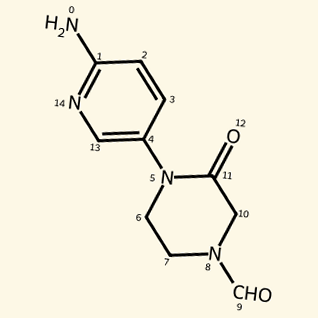 Nc1ccc(N2CCN(C=O)CC2=O)cn1